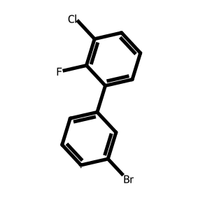 Fc1c(Cl)cccc1-c1cc[c]c(Br)c1